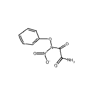 NC(=O)C(=O)N(Oc1ccccc1)[N+](=O)[O-]